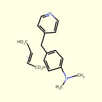 CN(C)c1ccc(Cc2ccncc2)cc1.O=C(O)/C=C/C(=O)O